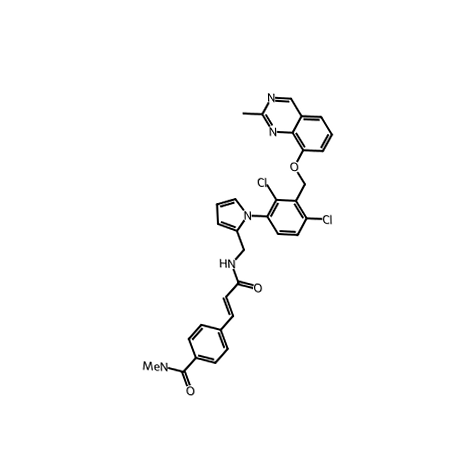 CNC(=O)c1ccc(C=CC(=O)NCc2cccn2-c2ccc(Cl)c(COc3cccc4cnc(C)nc34)c2Cl)cc1